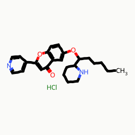 CCCCCC(Oc1ccc2oc(-c3ccncc3)cc(=O)c2c1)C1CCCCN1.Cl